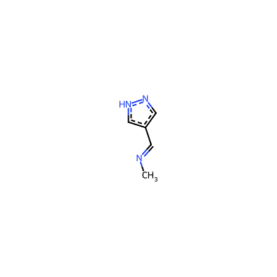 C/N=C/c1cn[nH]c1